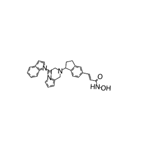 O=C(/C=C/c1ccc2c(c1)CCC2N(CCn1ccc2ccccc21)Cc1ccc[nH]1)NO